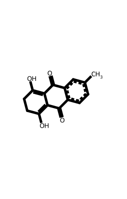 Cc1ccc2c(c1)C(=O)C1=C(O)CCC(O)=C1C2=O